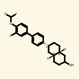 CCCC1CC[C@@H]2C[C@H](c3ccc(-c4ccc(OC(F)F)c(F)c4)cc3)CC[C@@H]2C1